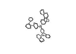 c1ccc(-c2ccccc2-c2ccc(N(c3ccc4c(c3)oc3ccc5ccccc5c34)c3ccc4c5ccccc5n(-c5cccc6ccccc56)c4c3)cc2)cc1